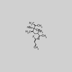 C=C/C=C(F)\N=C(\C)C(C)CC(=C)C(C)(CCCC)C(=C)C